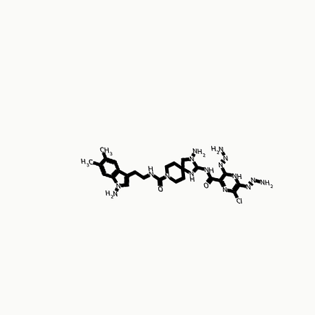 Cc1cc2c(CCNC(=O)N3CCC4(CC3)CN(N)C(NC(=O)C3=NC(Cl)=C(N=NN)NC3N=NN)N4)cn(N)c2cc1C